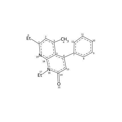 CCc1cc(C)c2c(-c3ccccc3)cc(=O)n(CC)c2n1